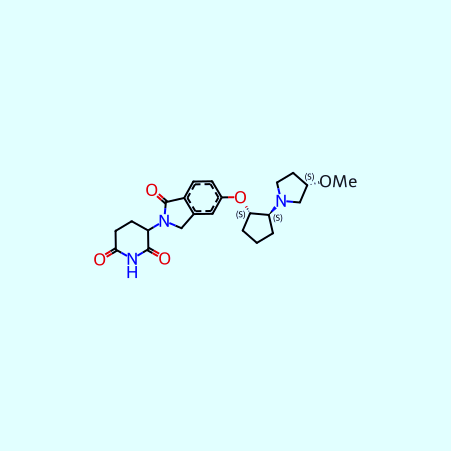 CO[C@H]1CCN([C@H]2CCC[C@@H]2Oc2ccc3c(c2)CN(C2CCC(=O)NC2=O)C3=O)C1